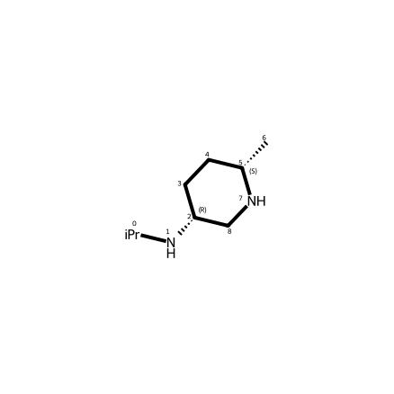 CC(C)N[C@@H]1CC[C@H](C)NC1